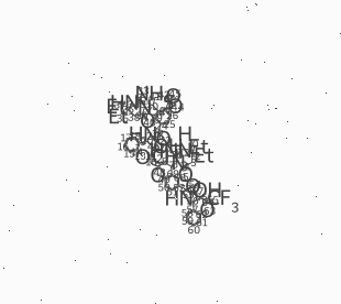 CCC1(CC)CC(=O)N([C@@H]2CC(CC3(C)Oc4ccccc4[C@@H](NC(=O)c4ccc5c(c4)[C@H](N4C(=N)NC(CC)(CC)CC4=O)CCS5(=O)=O)[C@@H]3O)Oc3ccc(C(=O)N[C@@H]4c5ccccc5OC(C(F)(F)F)C4O)cc32)C(=N)N1